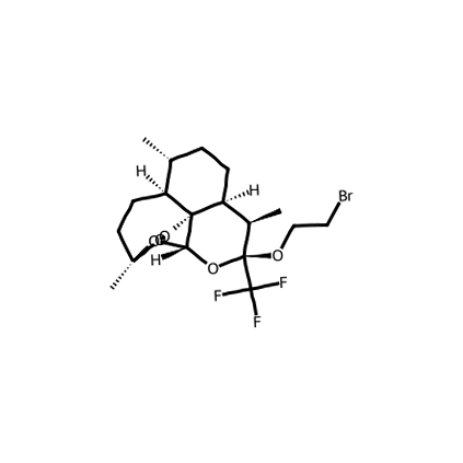 C[C@@H]1CC[C@H]2[C@@H](C)[C@](OCCBr)(C(F)(F)F)O[C@@H]3O[C@]4(C)CC[C@@H]1[C@]32OO4